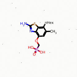 CCCCCCc1c(C)cc(OCP(=O)(O)O)c2nc(N)sc12